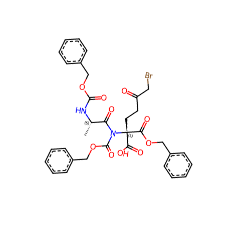 C[C@H](NC(=O)OCc1ccccc1)C(=O)N(C(=O)OCc1ccccc1)[C@@](CCC(=O)CBr)(C(=O)O)C(=O)OCc1ccccc1